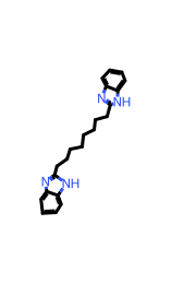 c1ccc2[nH]c(CCCCCCCCc3nc4ccccc4[nH]3)nc2c1